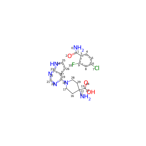 NC(=O)c1ccc(Cl)cc1F.NC1(C(=O)O)CCN(c2ncnc3[nH]ccc23)CC1